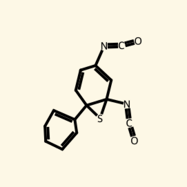 O=C=NC1=CC2(N=C=O)SC2(c2ccccc2)C=C1